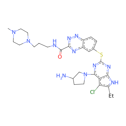 CCc1[nH]c2nc(Sc3ccc4nnc(C(=O)NCCCN5CCN(C)CC5)nc4c3)nc(N3CCC(N)C3)c2c1Cl